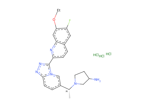 CCOc1cc2nc(-c3nnc4ccc([C@@H](C)N5CCC(N)C5)cn34)ccc2cc1F.Cl.Cl.Cl